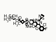 COC(=O)C1=C(C2CCN(S(=O)(=O)C3CC(C)(C(=O)OCC[Si](C)(C)C)C3)CC2)NC(c2nccs2)=NC1c1cccc(F)c1Cl